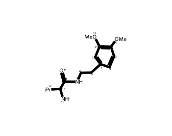 COc1ccc(CCNC(=O)C([NH])C(C)C)cc1OC